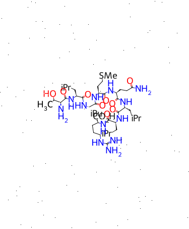 CC[C@H](C)[C@H](NC(=O)[C@H](CC(C)C)NC(=O)[C@@H](N)[C@@H](C)O)C(=O)N[C@@H](CCSC)C(=O)N[C@@H](CCC(N)=O)C(=O)N[C@@H](CC(C)C)C(=O)N[C@@H](CC(C)C)C(=O)N[C@@H](CCCNC(=N)N)C(=O)O